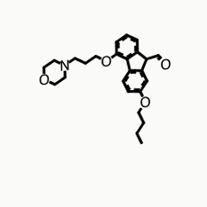 CCCCOc1ccc2c(c1)C(C=O)c1cccc(OCCCN3CCOCC3)c1-2